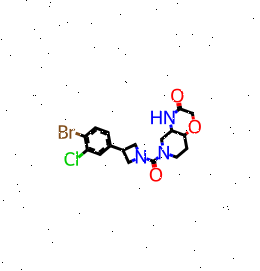 O=C1COC2CCN(C(=O)N3CC(c4ccc(Br)c(Cl)c4)C3)CC2N1